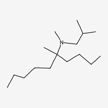 CCCCCC(C)(CCCC)N(C)CC(C)C